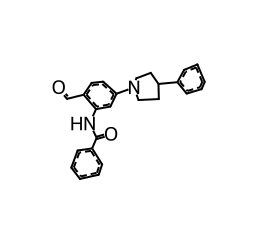 O=Cc1ccc(N2CCC(c3ccccc3)CC2)cc1NC(=O)c1ccccc1